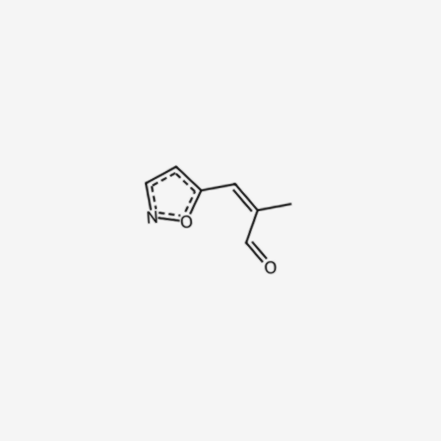 CC(C=O)=Cc1ccno1